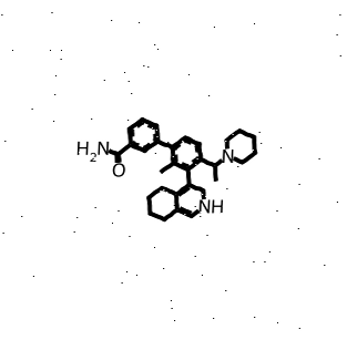 Cc1c(-c2cccc(C(N)=O)c2)ccc(C(C)N2CCCCC2)c1C1=C2CCCCC2=CNC1